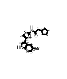 O=C(CC1CCCC1)Nc1nc(-c2c[nH]c3ncc(Br)cc23)cs1